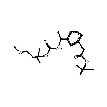 COCCC(C)(C)OC(=O)NC(C)c1cccc(CC(=O)OC(C)(C)C)c1